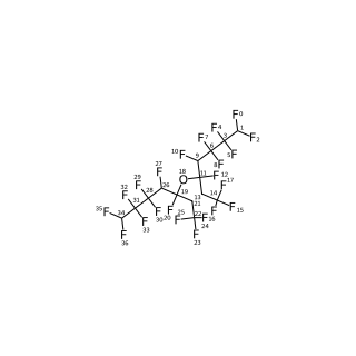 FC(F)C(F)(F)C(F)(F)C(F)C(F)(CC(F)(F)F)OC(F)(CC(F)(F)F)C(F)C(F)(F)C(F)(F)C(F)F